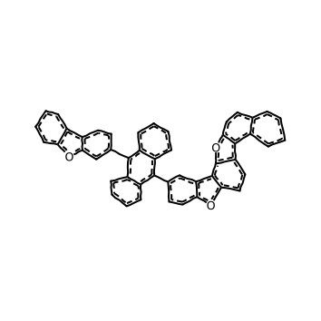 c1ccc2c(c1)ccc1oc3c(ccc4oc5ccc(-c6c7ccccc7c(-c7ccc8c(c7)oc7ccccc78)c7ccccc67)cc5c43)c12